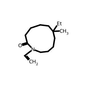 C=CN1CCCCC(C)(CC)CCCCC1=O